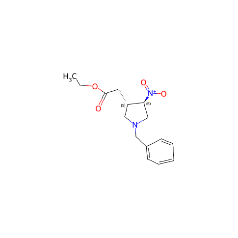 CCOC(=O)C[C@H]1CN(Cc2ccccc2)C[C@@H]1[N+](=O)[O-]